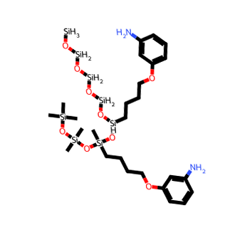 C[Si](C)(C)O[Si](C)(C)O[Si](C)(CCCCOc1cccc(N)c1)O[SiH](CCCCOc1cccc(N)c1)O[SiH2]O[SiH2]O[SiH2]O[SiH3]